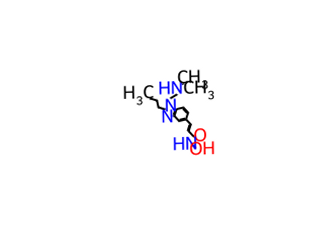 CCCCc1nc2cc(C=CC(=O)NO)ccc2n1CCNC(C)C